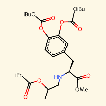 COC(=O)[C@H](Cc1ccc(OC(=O)OCC(C)C)c(OC(=O)OCC(C)C)c1)NCC(C)OC(=O)C(C)C